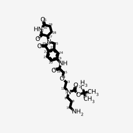 CC(C)(C)OC(=O)N(CCCN)CCOCC(=O)Nc1ccc2c(c1)CN(C1CCC(=O)NC1=O)C2=O